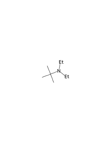 CCN(CC)C(C)(C)C